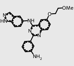 COCCOc1ccc2nc(-c3cccc(N)c3)nc(Nc3ccc4[nH]ncc4c3)c2c1